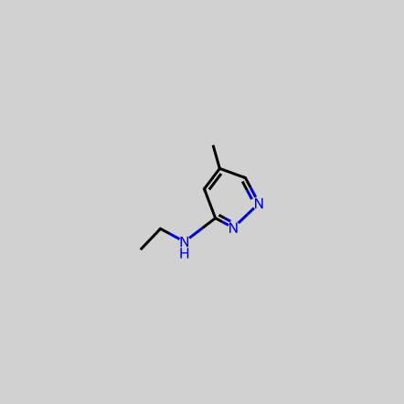 CCNc1cc(C)cnn1